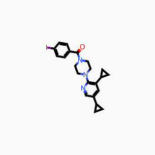 O=C(c1ccc(I)cc1)N1CCN(c2ncc(C3CC3)cc2C2CC2)CC1